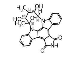 C[C@H]1[C@@H](O)[C@H]2O[C@@](C)([C@@H]1O)n1c3ccccc3c3c4c(c5c6ccccc6n2c5c31)C(=O)NC4=O